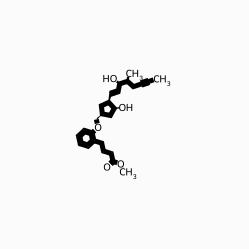 CC#CC[C@H](C)[C@H](O)/C=C/[C@@H]1C[C@@H](COc2ccccc2CCCC(=O)OC)C[C@H]1O